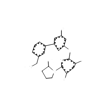 Cc1cc(Oc2nc(N3CCCC3C(=O)O)c(F)cc2F)cc(-c2cccc(CN)c2)c1